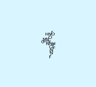 C=CC(=O)Nc1cccc(-n2cnc(=O)c3cnc(Nc4ccc(N5CCN(CCF)CC5)c(F)c4F)nc32)c1